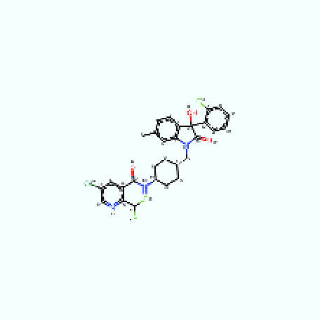 Cc1ccc2c(c1)N(C[C@H]1CC[C@H](NC(=O)c3cc(Cl)cnc3C(F)F)CC1)C(=O)C2(O)c1ccccc1F